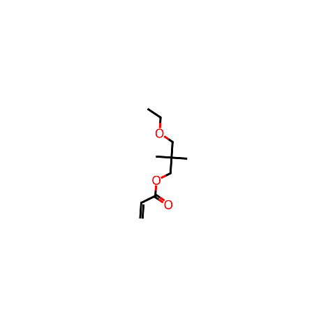 C=CC(=O)OCC(C)(C)COCC